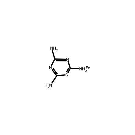 Nc1nc(N)nc(N)n1.[Fe]